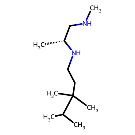 CNC[C@@H](C)NCCC(C)(C)C(C)C